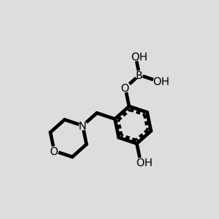 OB(O)Oc1ccc(O)cc1CN1CCOCC1